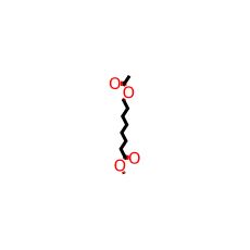 COC(=O)CCCCCCCOC(C)=O